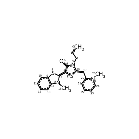 C=CCn1c(=O)/c(=C2\Sc3ccccc3N2C)s/c1=C\c1cccc[n+]1C